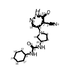 N#Cc1c(N2CC[C@@H](NC(=O)NC3CCCCC3)C2)cn[nH]c1=O